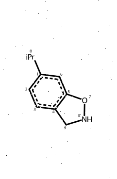 CC(C)c1ccc2c(c1)ONC2